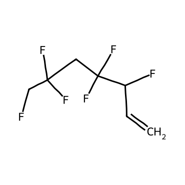 C=CC(F)C(F)(F)CC(F)(F)CF